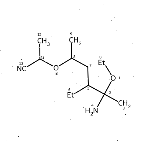 CCOC(C)(N)C(CC)CC(C)OC(C)C#N